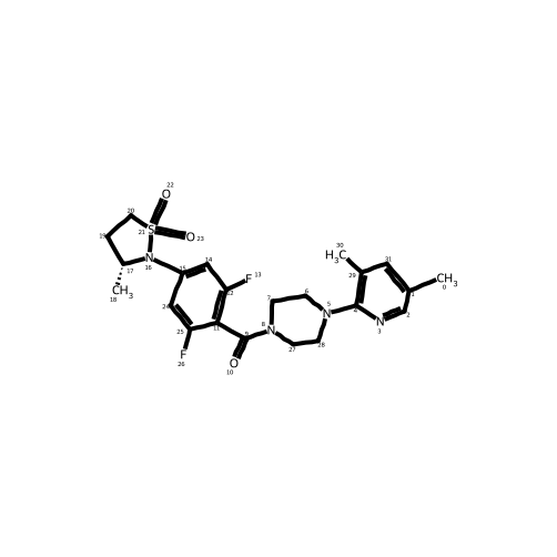 Cc1cnc(N2CCN(C(=O)c3c(F)cc(N4[C@H](C)CCS4(=O)=O)cc3F)CC2)c(C)c1